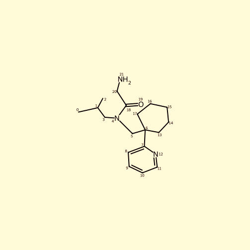 CC(C)CN(CC1(c2ccccn2)CCCCC1)C(=O)CN